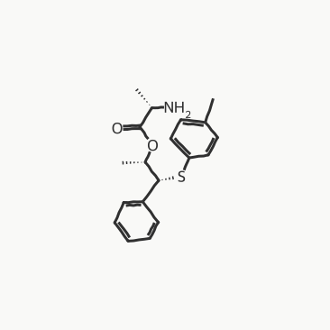 Cc1ccc(S[C@H](c2ccccc2)[C@H](C)OC(=O)[C@H](C)N)cc1